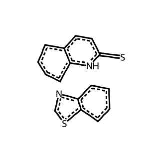 S=c1ccc2ccccc2[nH]1.c1ccc2scnc2c1